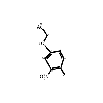 CC(=O)COc1ccc(C)c([N+](=O)[O-])c1